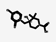 CC1(C)CN(C(=O)O)CC[C@@]1(O)Cn1ccc(Cl)cc1=O